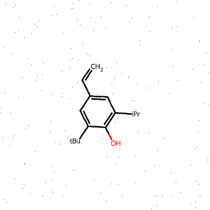 C=Cc1cc(C(C)C)c(O)c(C(C)(C)C)c1